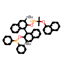 CCCCc1cc2ccccc2c(-c2c(OP(c3ccccc3)c3ccccc3)c(CCCC)cc3ccccc23)c1OPC(C)(C)Oc1cccc2ccccc12